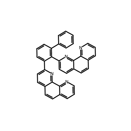 c1ccc(-c2cccc(-c3ccc4ccc5cccnc5c4n3)c2-c2ccc3ccc4cccnc4c3n2)cc1